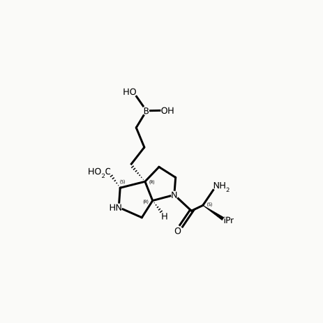 CC(C)[C@H](N)C(=O)N1CC[C@]2(CCCB(O)O)[C@@H](C(=O)O)NC[C@H]12